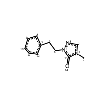 Cn1cnn(CCc2ccccc2)c1=O